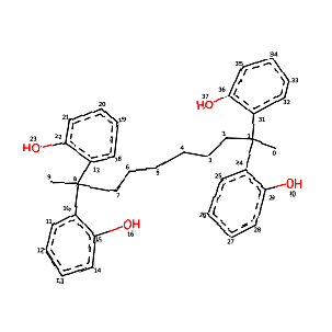 CC(CCCCCCC(C)(c1ccccc1O)c1ccccc1O)(c1ccccc1O)c1ccccc1O